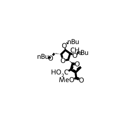 CCCCOC[C@H]1O[C@@H](c2occ(C(=O)OC)c2C(=O)O)[C@](C)(OCCCC)[C@@H]1OCCCC